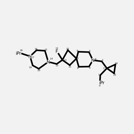 CC(C)CC1(CN2CCC3(CC2)CC(F)(CN2CCN(C(C)C)CC2)C3)CC1